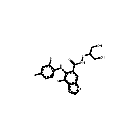 O=C(NOC(CO)CO)c1cc2ocnc2c(F)c1Nc1ccc(I)cc1F